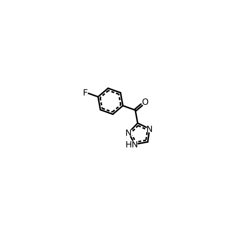 O=C(c1ccc(F)cc1)c1nc[nH]n1